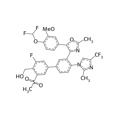 COc1cc(-c2oc(C)nc2-c2cc(-c3cc(F)c(CO)c(S(C)(=O)=O)c3)ccc2-n2cc(C(F)(F)F)nc2C)ccc1OC(F)F